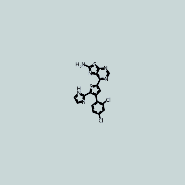 Nc1nc2c(-c3cc(-c4ccc(Cl)cc4Cl)c(-c4ncc[nH]4)s3)ncnc2s1